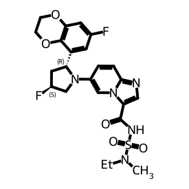 CCN(C)S(=O)(=O)NC(=O)c1cnc2ccc(N3C[C@@H](F)C[C@@H]3c3cc(F)cc4c3OCCO4)cn12